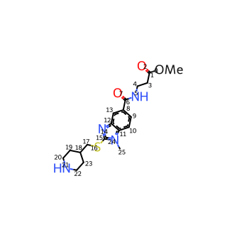 COC(=O)CCNC(=O)c1ccc2c(c1)nc(SCC1CCNCC1)n2C